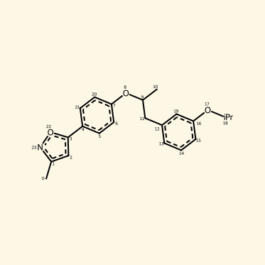 Cc1cc(-c2ccc(OC(C)Cc3cccc(OC(C)C)c3)cc2)on1